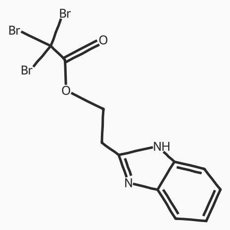 O=C(OCCc1nc2ccccc2[nH]1)C(Br)(Br)Br